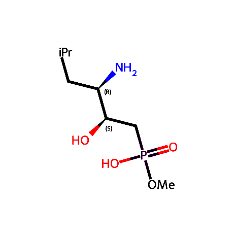 COP(=O)(O)C[C@@H](O)[C@H](N)CC(C)C